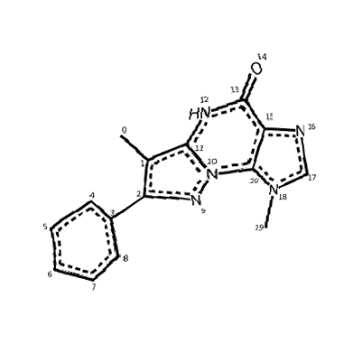 Cc1c(-c2ccccc2)nn2c1[nH]c(=O)c1ncn(C)c12